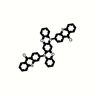 O=c1c2ccccc2sc2cc(-n3c4ccccc4oc4cc5c(cc43)oc3ccccc3n5-c3ccc4c(=O)c5ccccc5sc4c3)ccc12